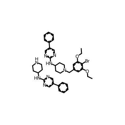 CCOc1cc(CN2CCC(Nc3ncc(-c4ccccc4)cn3)CC2)cc(OCC)c1Br.c1ccc(-c2cnc(NC3CCNCC3)nc2)cc1